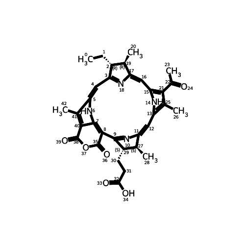 CC[C@H]1c2cc3[nH]c4c(c5nc(cc6[nH]c(cc(n2)[C@@H]1C)c(C(C)=O)c6C)[C@@H](C)[C@@H]5CCC(=O)O)C(=O)OC(=O)c4c3C